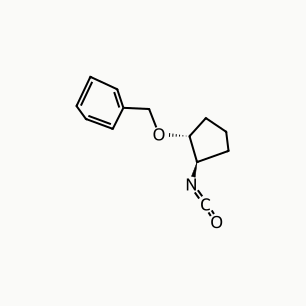 O=C=N[C@@H]1CCC[C@H]1OCc1ccccc1